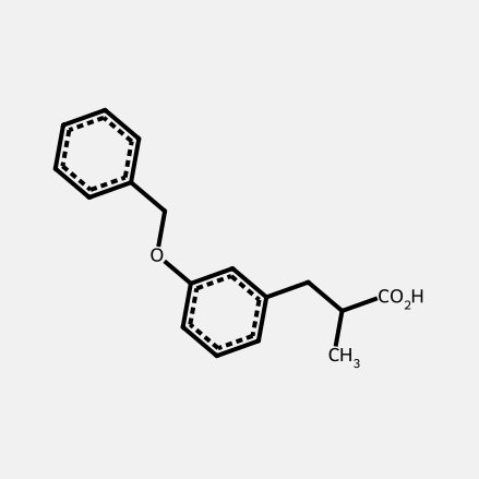 CC(Cc1cccc(OCc2ccccc2)c1)C(=O)O